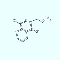 C=CCc1n[n+]([O-])c2ccccc2[n+]1[O-]